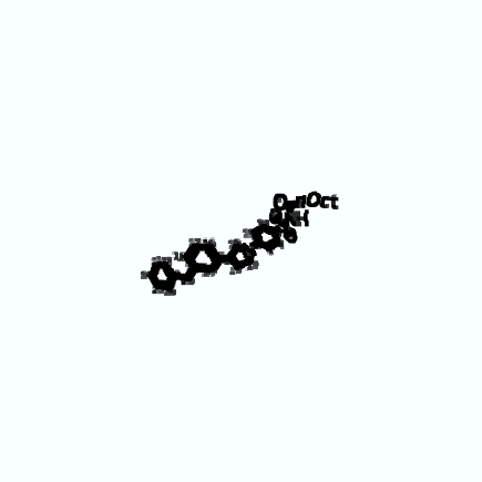 CCCCCCCCC(=O)NS(=O)(=O)c1ccc(N2CCC(c3cccc(Cc4ccccc4)c3)C2)cc1